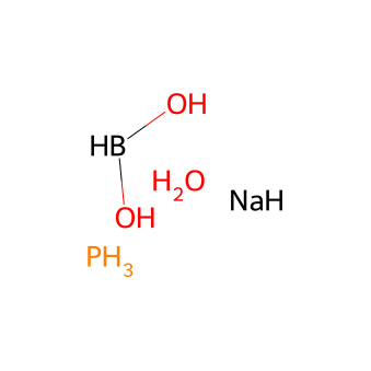 O.OBO.P.[NaH]